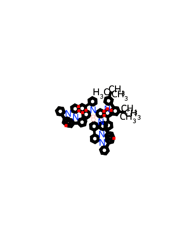 CC(C)(C)c1ccc2c(c1)c1cc(C(C)(C)C)ccc1n2-c1cc2c3c(c1)N(c1ccccc1-c1ccccc1)c1cc(-c4cccc(-n5c6ccccc6c6ccccc65)c4-n4c5ccccc5c5ccccc54)ccc1B3c1ccc(-c3cccc(-n4c5ccccc5c5ccccc54)c3-n3c4ccccc4c4ccccc43)cc1N2c1ccccc1-c1ccccc1